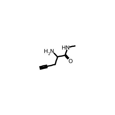 C#CCC(N)C(=O)NC